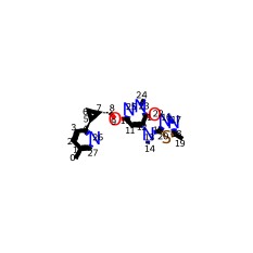 Cc1ccc([C@H]2C[C@@H]2COc2cc(N(C)c3nnc(C)s3)c(=O)n(C)n2)nc1